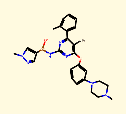 CCCc1c(Oc2cccc(N3CCN(C)CC3)c2)nc(N[S+]([O-])c2cnn(C)c2)nc1-c1ccccc1C